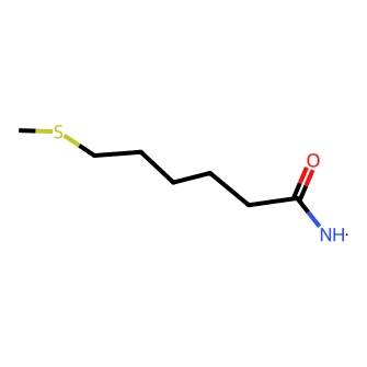 CSCCCCCC([NH])=O